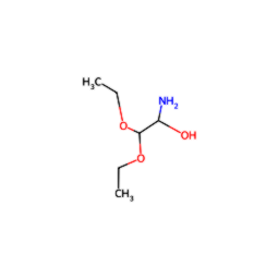 CCOC(OCC)C(N)O